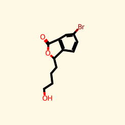 O=C1OC(CCCCO)c2ccc(Br)cc21